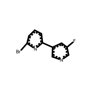 Fc1cncc(-c2cccc(Br)n2)c1